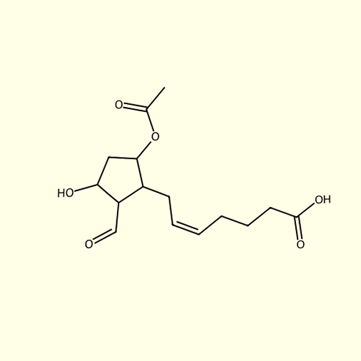 CC(=O)OC1CC(O)C(C=O)C1C/C=C\CCCC(=O)O